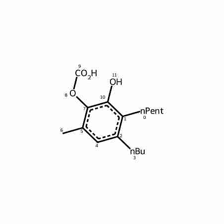 CCCCCc1c(CCCC)cc(C)c(OC(=O)O)c1O